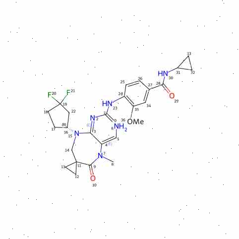 C=C(/N=C1\C(=C/N)N(C)C(=O)C2(CC2)CN1[C@@H]1CCC(F)(F)C1)Nc1ccc(C(=O)NC2CC2)cc1OC